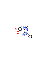 COc1cc2c(cc1OC)-c1c(-c3cncn3CC3=CC=CCC3)nc(C)n1CC2